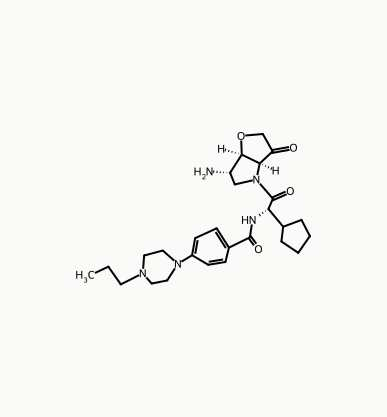 CCCN1CCN(c2ccc(C(=O)N[C@H](C(=O)N3C[C@H](N)[C@H]4OCC(=O)[C@H]43)C3CCCC3)cc2)CC1